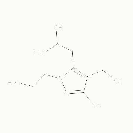 CCCn1nc(O)c(CC)c1CC(C)C